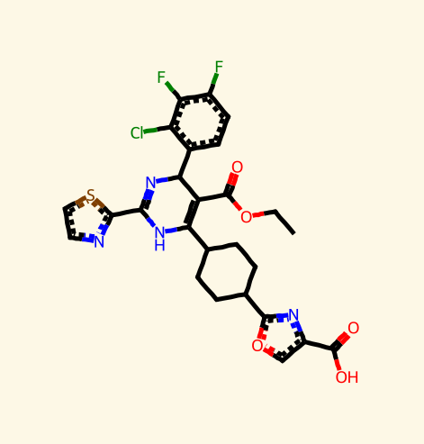 CCOC(=O)C1=C(C2CCC(c3nc(C(=O)O)co3)CC2)NC(c2nccs2)=NC1c1ccc(F)c(F)c1Cl